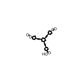 O=COc1ccc(C#Cc2cc(C#Cc3ccc(OC=O)cc3)cc(C#Cc3ccc(C(=O)O)cc3)c2)cc1